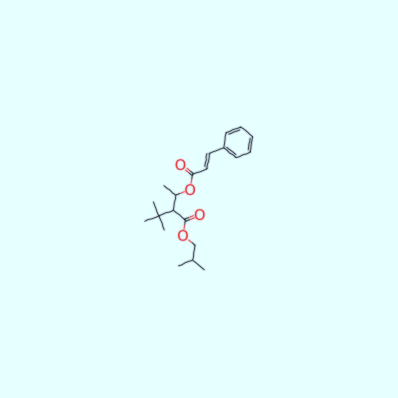 CC(C)COC(=O)C(C(C)OC(=O)C=Cc1ccccc1)C(C)(C)C